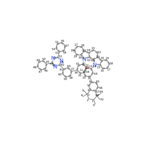 CC1CC(C)(C)c2cc(-c3cccc(-n4c5ccccc5c5ccc6c7ccccc7n(-c7cccc(-c8cccc(-c9nc(-c%10ccccc%10)nc(-c%10ccccc%10)n9)c8)c7)c6c54)c3)ccc2C1(C)C